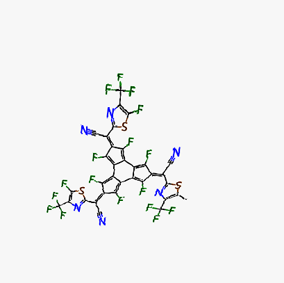 Cc1sc(/C(C#N)=C2\C(F)=c3c4c(c5c(c3=C2F)=C(F)/C(=C(/C#N)c2nc(C(F)(F)F)c(F)s2)C=5F)=C(F)/C(=C(/C#N)c2nc(C(F)(F)F)c(F)s2)C=4F)nc1C(F)(F)F